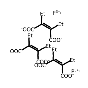 CC/C(C(=O)[O-])=C(\CC)C(=O)[O-].CC/C(C(=O)[O-])=C(\CC)C(=O)[O-].CC/C(C(=O)[O-])=C(\CC)C(=O)[O-].[P+3].[P+3]